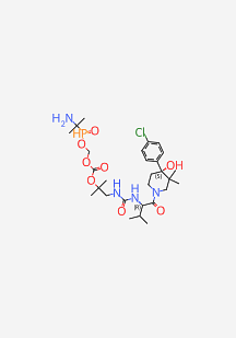 CC(C)[C@@H](NC(=O)NCC(C)(C)OC(=O)OCO[PH](=O)C(C)(C)N)C(=O)N1CC[C@](O)(c2ccc(Cl)cc2)C(C)(C)C1